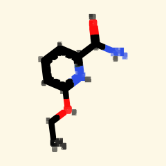 CCOc1cc[c]c(C(N)=O)n1